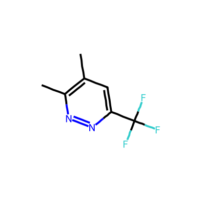 Cc1cc(C(F)(F)F)nnc1C